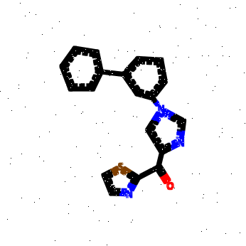 O=C(c1cn(-c2cccc(-c3ccccc3)c2)cn1)c1nccs1